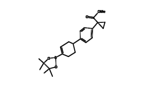 COC(=O)C1(c2ccc(C3CC=C(B4OC(C)(C)C(C)(C)O4)CC3)cc2)CC1